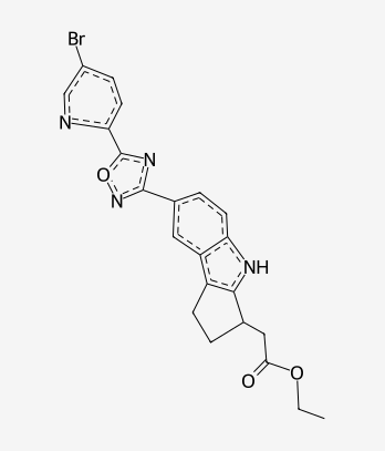 CCOC(=O)CC1CCc2c1[nH]c1ccc(-c3noc(-c4ccc(Br)cn4)n3)cc21